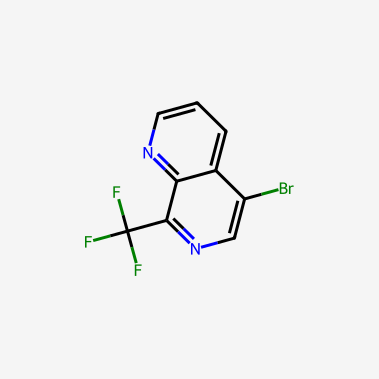 FC(F)(F)c1ncc(Br)c2cccnc12